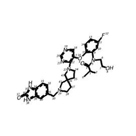 CC(C)C(=O)N(CCO)c1cc(F)ccc1Oc1cncnc1N1CCC2(CCN(Cc3ccc4[nH]c(=O)[nH]c4c3)C2)C1